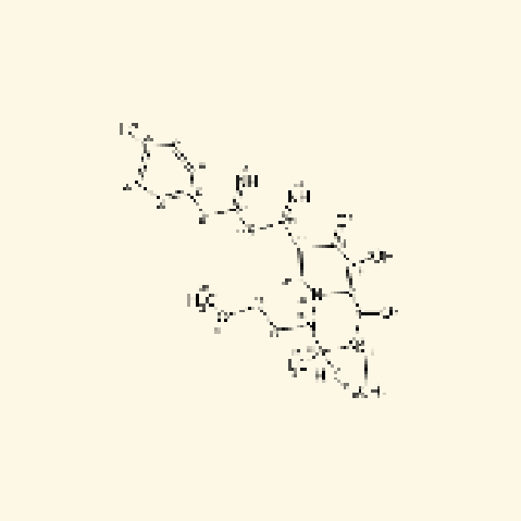 CCN1C(=O)c2c(O)c(=O)c(C(=N)SC(=N)Cc3ccc(F)cc3)cn2N(CCOC)C1(C)C